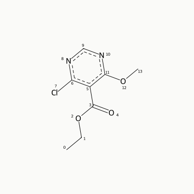 CCOC(=O)c1c(Cl)ncnc1OC